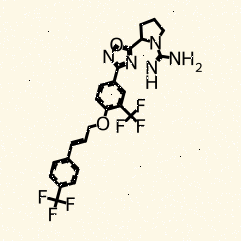 N=C(N)N1CCCC1c1nc(-c2ccc(OC/C=C/c3ccc(C(F)(F)F)cc3)c(C(F)(F)F)c2)no1